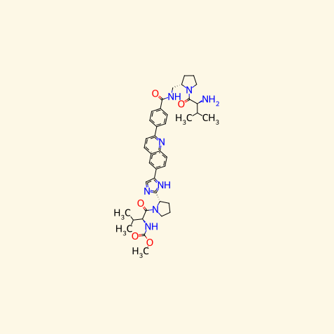 COC(=O)N[C@H](C(=O)N1CCC[C@H]1c1ncc(-c2ccc3nc(-c4ccc(C(=O)NC[C@@H]5CCCN5C(=O)[C@@H](N)C(C)C)cc4)ccc3c2)[nH]1)C(C)C